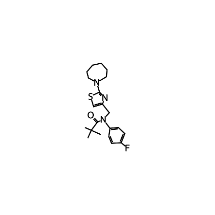 CC(C)(C)C(=O)N(Cc1csc(N2CCCCCC2)n1)c1ccc(F)cc1